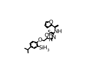 C=C(NC(=S)/N=N\C(O)COc1ccc(C(C)C)cc1[SiH3])c1ccco1